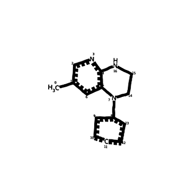 Cc1cnc2c(c1)N(c1ccccc1)CCN2